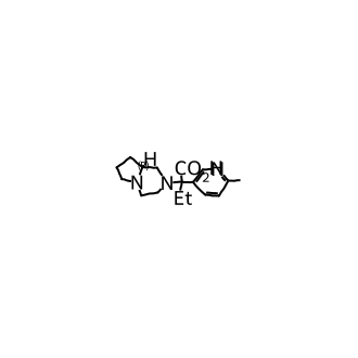 CCC(C(=O)O)(c1ccc(C)nc1)N1CCN2CCC[C@@H]2C1